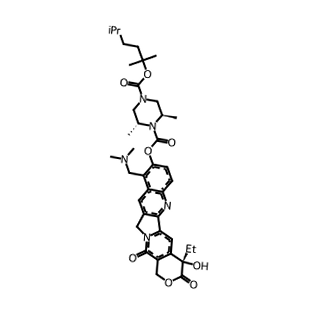 CC[C@@]1(O)C(=O)OCc2c1cc1n(c2=O)Cc2cc3c(CN(C)C)c(OC(=O)N4[C@H](C)CN(C(=O)OC(C)(C)CCC(C)C)C[C@H]4C)ccc3nc2-1